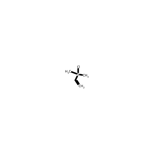 C=CS(C)(C)Cl